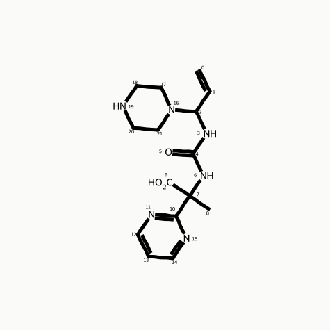 C=CC(NC(=O)NC(C)(C(=O)O)c1ncccn1)N1CCNCC1